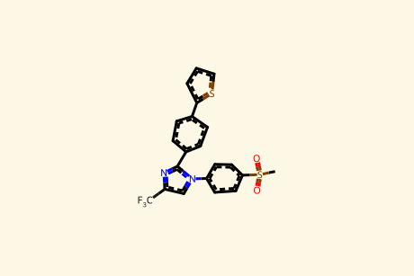 CS(=O)(=O)c1ccc(-n2cc(C(F)(F)F)nc2-c2ccc(-c3cccs3)cc2)cc1